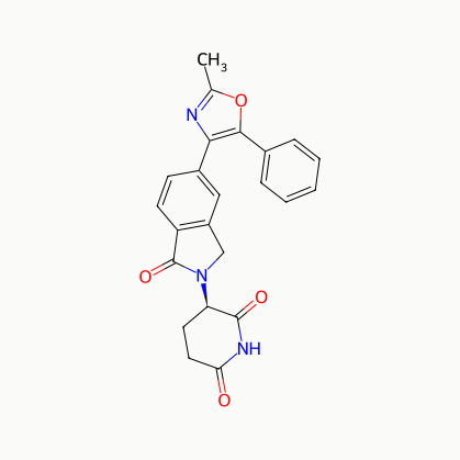 Cc1nc(-c2ccc3c(c2)CN([C@@H]2CCC(=O)NC2=O)C3=O)c(-c2ccccc2)o1